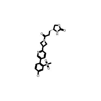 CS(=O)(=O)c1cc(Cl)ccc1-c1ccc(C2CN(C(=O)CC[C@@H]3COC(=O)N3)C2)nc1